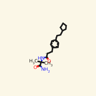 CC(C)(NC(=O)[CH]Cc1ccc(CCC2CCCC2)cc1)C(N)=O